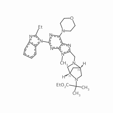 CCOC(=O)C(C)(C)N1C[C@@H]2C[C@H]1CN2Cc1nc2c(N3CCOCC3)nc(-n3c(CC)nc4ccccc43)nc2n1C